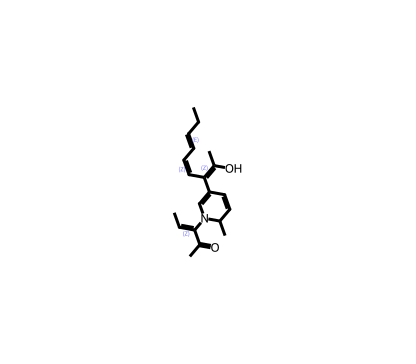 C/C=C(/C(C)=O)N1C=C(C(/C=C\C=C\CC)=C(/C)O)C=CC1C